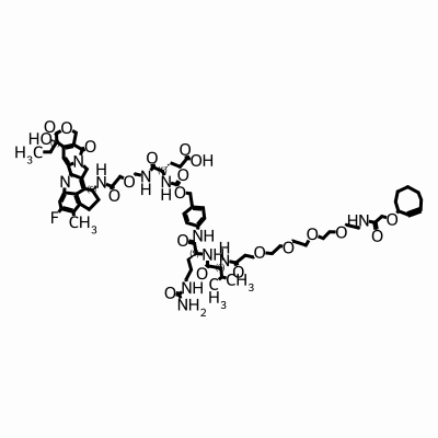 CC[C@@]1(O)C(=O)OCc2c1cc1n(c2=O)Cc2c-1nc1cc(F)c(C)c3c1c2[C@@H](NC(=O)COCNC(=O)[C@H](CCC(=O)O)NC(=O)OCc1ccc(NC(=O)[C@H](CCCNC(N)=O)NC(=O)[C@@H](NC(=O)CCOCCOCCOCCOCCNC(=O)COC2C#CCCCCC2)C(C)C)cc1)CC3